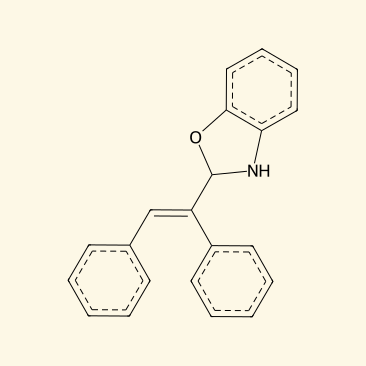 C(=C(c1ccccc1)C1Nc2ccccc2O1)c1ccccc1